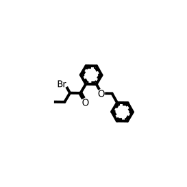 CCC(Br)C(=O)c1ccccc1OCc1ccccc1